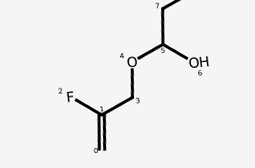 C=C(F)COC(O)CF